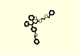 ClC(CC(=C(c1ccccc1)c1ccc(OCc2ccccc2)cc1)c1ccccc1)OCCOCc1ccccc1